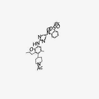 CC(=O)N1CCC(c2c(C)cc(Nc3ncc(N(Cl)c4ccccc4S(=O)(=O)C(C)C)cn3)c3c2CC(C)O3)CC1